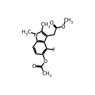 COC(=O)Cc1c(C)n(C)c2ccc(OC(C)=O)c(F)c12